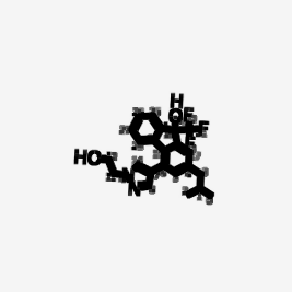 CC(C)Cc1cc(-c2cnn(CCO)c2)c2c(c1)C(O)(C(F)(F)F)c1ccccc1-2